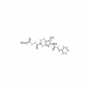 COC(=O)CCC(=O)N1CCc2c(sc(NC(=O)C=Cc3ccccc3)c2C#N)C1